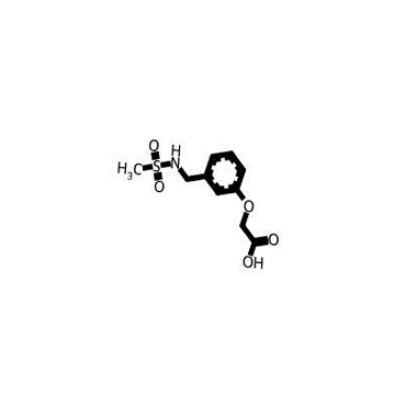 CS(=O)(=O)NCc1cccc(OCC(=O)O)c1